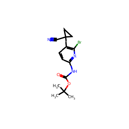 CC(C)(C)OC(=O)Nc1ccc(C2(C#N)CC2)c(Br)n1